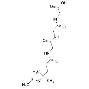 CSSC(C)(C)CCC(=O)NCC(=O)NCC(=O)NCC(=O)O